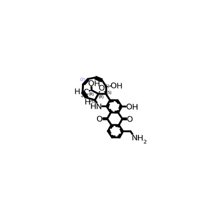 C[C@@H](O)[C@@]12O[C@]13c1cc(O)c4c(c1N[C@H]2C#C/C=C\C#C[C@@H]3O)C(=O)c1cccc(CN)c1C4=O